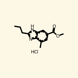 CCCc1nc2c(C)cc(C(=O)OC)cc2[nH]1.Cl